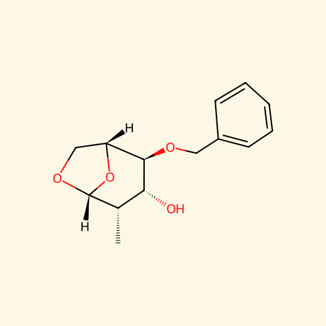 C[C@@H]1[C@@H]2OC[C@@H](O2)[C@@H](OCc2ccccc2)[C@@H]1O